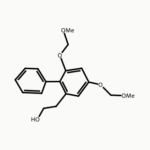 COCOc1cc(CCO)c(-c2ccccc2)c(OCOC)c1